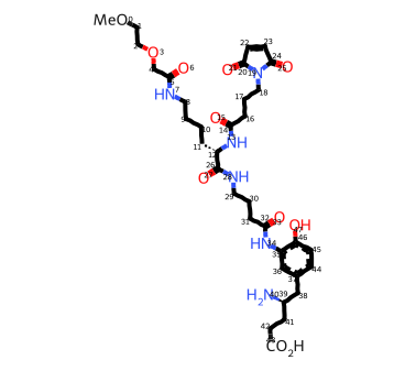 COCCOCC(=O)NCCCC[C@H](NC(=O)CCCN1C(=O)C=CC1=O)C(=O)NCCCC(=O)Nc1cc(C[C@H](N)CCC(=O)O)ccc1O